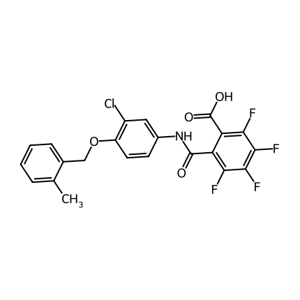 Cc1ccccc1COc1ccc(NC(=O)c2c(F)c(F)c(F)c(F)c2C(=O)O)cc1Cl